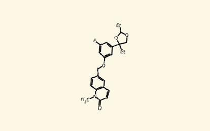 CCC1OCC(CC)(c2cc(F)cc(OCc3ccc4c(ccc(=O)n4C)c3)c2)O1